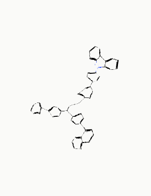 c1ccc(-c2ccc(C(CCc3ccc(-c4ccc(-n5c6ccccc6c6ccccc65)cc4)cc3)c3ccc(-c4cccc5ccccc45)cc3)cc2)cc1